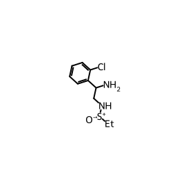 CC[S+]([O-])NCC(N)c1ccccc1Cl